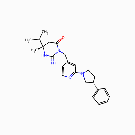 CC(C)[C@]1(C)CC(=O)N(Cc2ccnc(N3CC[C@H](c4ccccc4)C3)c2)C(=N)N1